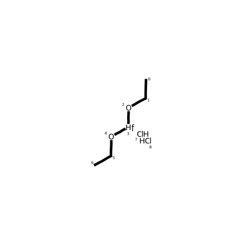 CC[O][Hf][O]CC.Cl.Cl